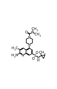 Cc1cc2c(N3CCN(C(=O)N(C)C)CC3)cc(S(=O)(=O)NC3(C)CC3)cc2nc1N